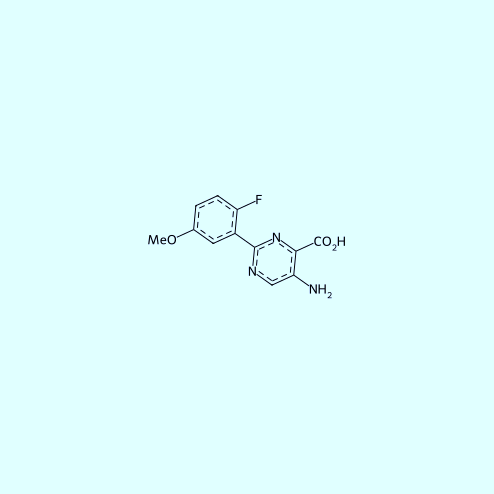 COc1ccc(F)c(-c2ncc(N)c(C(=O)O)n2)c1